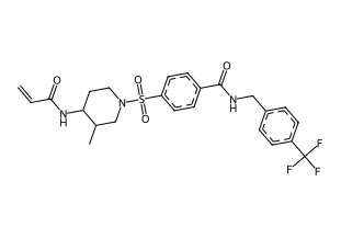 C=CC(=O)NC1CCN(S(=O)(=O)c2ccc(C(=O)NCc3ccc(C(F)(F)F)cc3)cc2)CC1C